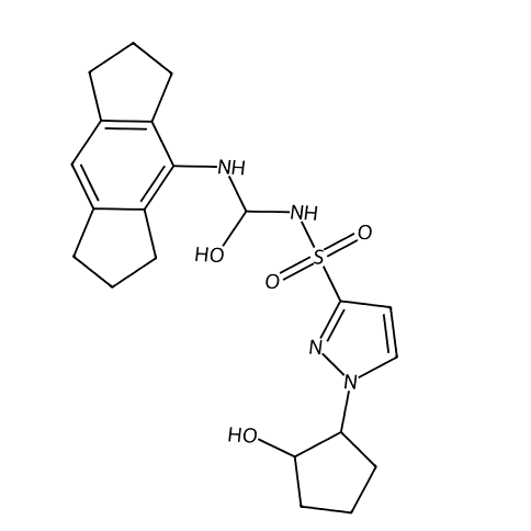 O=S(=O)(NC(O)Nc1c2c(cc3c1CCC3)CCC2)c1ccn(C2CCCC2O)n1